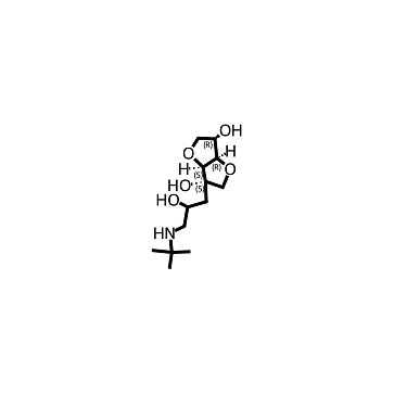 CC(C)(C)NCC(O)C[C@]1(O)CO[C@@H]2[C@H](O)CO[C@@H]21